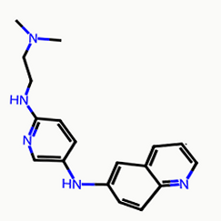 CN(C)CCNc1ccc(Nc2ccc3nc[c]cc3c2)cn1